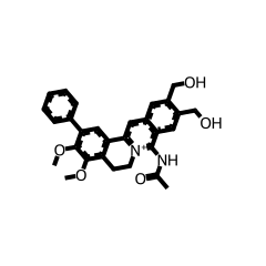 COc1c(-c2ccccc2)cc2c(c1OC)CC[n+]1c-2cc2cc(CO)c(CO)cc2c1NC(C)=O